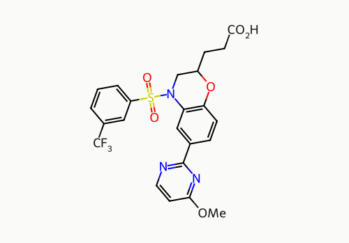 COc1ccnc(-c2ccc3c(c2)N(S(=O)(=O)c2cccc(C(F)(F)F)c2)CC(CCC(=O)O)O3)n1